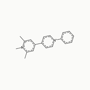 Cc1cc(-c2cc[n+](-c3ccccc3)cc2)cc(C)[n+]1C